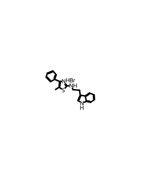 Br.Cc1sc(NCCc2c[nH]c3ccccc23)nc1-c1ccccc1